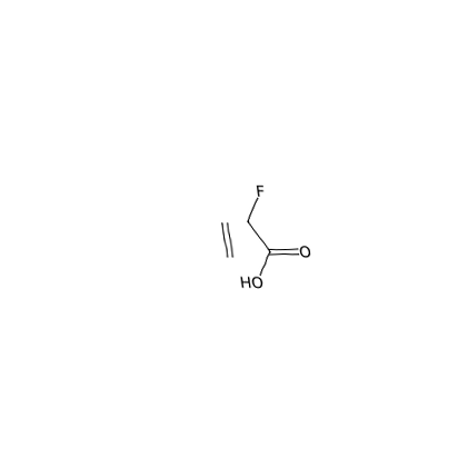 C=C.O=C(O)CF